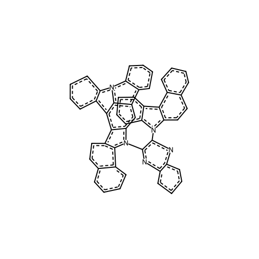 c1ccc2c(c1)ccc1c2c2ccccc2n1-c1nc2ccccc2nc1-n1c2cc3c4ccccc4n4c5ccccc5c(c2c2ccc5ccccc5c21)c34